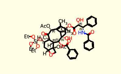 CCO[Si](OCC)(OCC)O[C@H]1C[C@H]2OC[C@@]2(OC(C)=O)[C@H]2[C@H](OC(=O)c3ccccc3)[C@]3(O)C[C@H](OC(=O)[C@H](O)[C@@H](NC(=O)c4ccccc4)c4ccccc4)C(C)=C([C@@H](OC(C)=O)C(=O)[C@]12C)C3(C)C